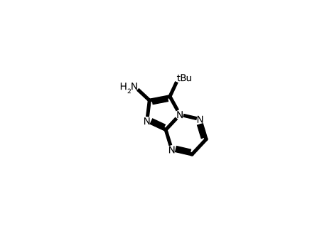 CC(C)(C)c1c(N)nc2nccnn12